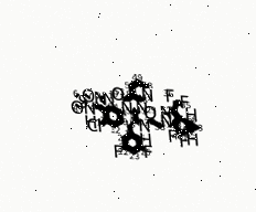 Cn1nc(NS(C)(=O)=O)c2c(Cl)ccc(-n3c([C@H](Cc4cc(F)cc(F)c4)NC(=O)Cn4nc(C(F)F)c5c4C(F)(F)[C@@H]4C[C@H]54)nc4ncccc4c3=O)c21